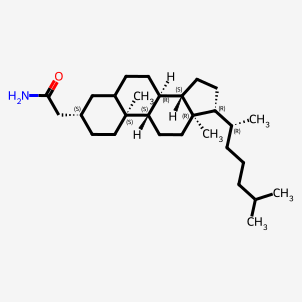 CC(C)CCC[C@@H](C)[C@H]1CC[C@H]2[C@@H]3CCC4C[C@@H](CC(N)=O)CC[C@]4(C)[C@H]3CC[C@]12C